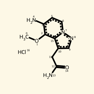 COc1c(N)ccn2ncc(CC(N)=O)c12.Cl